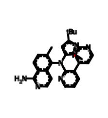 Cc1ccc2c(N)nccc2c1N(c1ncccc1-c1ccncn1)c1cc(C(C)(C)C)nn1C